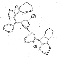 N#Cc1cc(-c2ccc(C#N)c(N3c4ccccc4C4CCCCC43)c2)cc(-n2c3ccccc3c3ccc4oc5c(c4c32)C=CCC5)c1